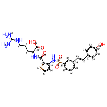 NC(N)NCCC[C@H](NC(=O)c1sccc1NS(=O)(=O)c1cccc(/C=C/c2ccc(O)cc2)c1)C(=O)O